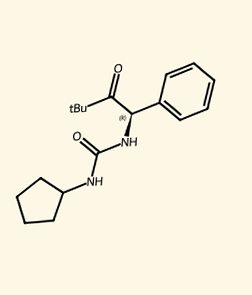 CC(C)(C)C(=O)[C@H](NC(=O)NC1CCCC1)c1ccccc1